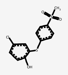 CS(=O)(=O)c1ccc(Sc2cc(Cl)ccc2O)cc1